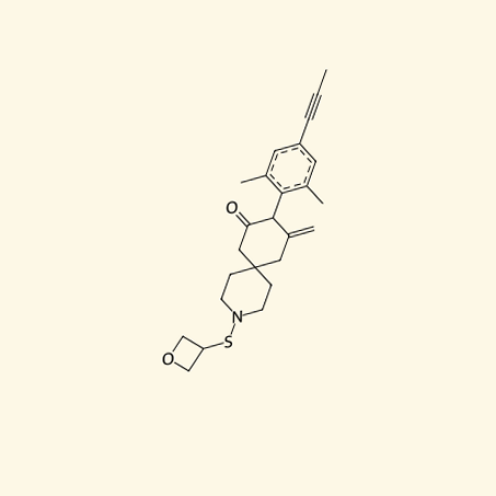 C=C1CC2(CCN(SC3COC3)CC2)CC(=O)C1c1c(C)cc(C#CC)cc1C